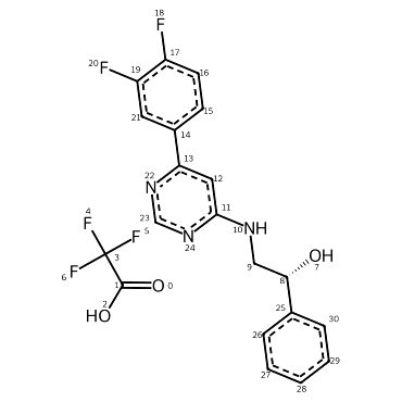 O=C(O)C(F)(F)F.O[C@@H](CNc1cc(-c2ccc(F)c(F)c2)ncn1)c1ccccc1